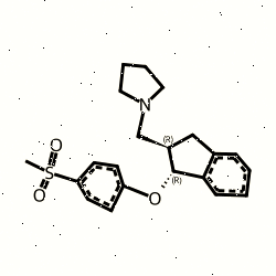 CS(=O)(=O)c1ccc(O[C@H]2c3ccccc3C[C@@H]2CN2CCCC2)cc1